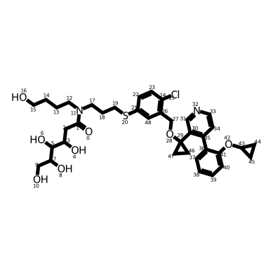 O=C(CC(O)C(O)C(O)CO)N(CCCCO)CCCSc1ccc(Cl)c(COC2(c3cnccc3-c3ccccc3OC3CC3)CC2)c1